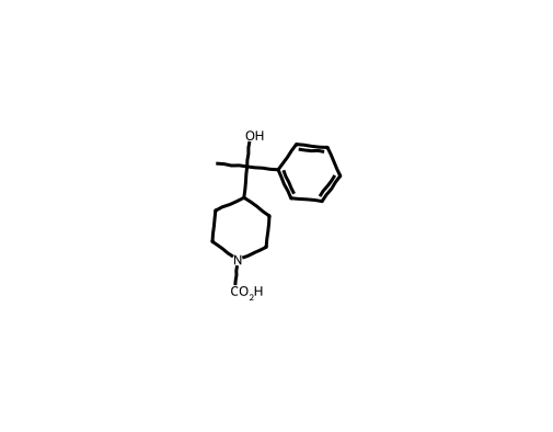 CC(O)(c1ccccc1)C1CCN(C(=O)O)CC1